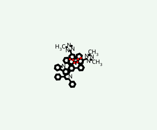 Cc1ncnc(-c2ccc3c(c2)c2cc(-c4nc(C)nc(C)n4)ccc2n3-c2c(-c3ccccc3-n3c4ccccc4c4ccccc43)cc(-c3cc(-c4ccccc4)cc(-c4ccccc4)n3)cc2-c2ccccc2-n2c3ccccc3c3ccccc32)n1